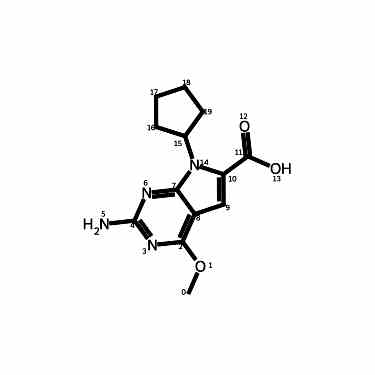 COc1nc(N)nc2c1cc(C(=O)O)n2C1CCCC1